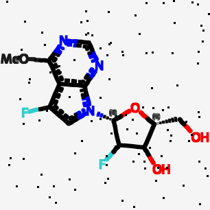 COc1ncnc2c1c(F)cn2[C@@H]1O[C@H](CO)C(O)C1F